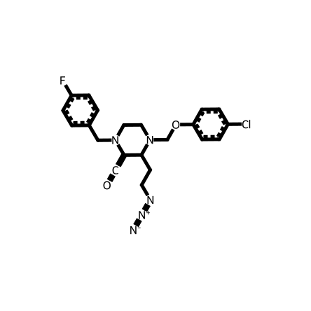 [N-]=[N+]=NCCC1C(=C=O)N(Cc2ccc(F)cc2)CCN1COc1ccc(Cl)cc1